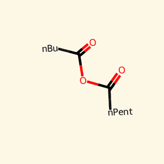 CCCCCC(=O)OC(=O)CCCC